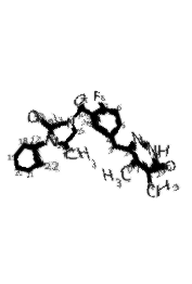 Cc1c(Cc2ccc(F)c(C(=O)N3CC(=O)N(C4CCCCC4)C(C)C3)c2)n[nH]c(=O)c1C